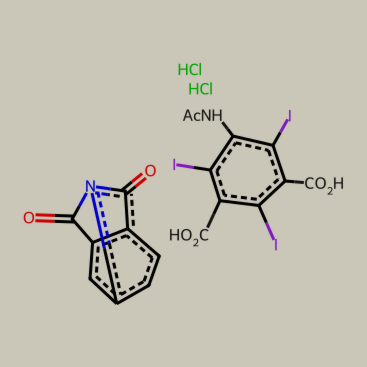 CC(=O)Nc1c(I)c(C(=O)O)c(I)c(C(=O)O)c1I.Cl.Cl.O=C1c2cc3ccc2c(=O)n31